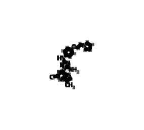 Cc1csc2c(-n3nc(Nc4ccc(OCCN5CCCC5)cc4)nc3N)nc(Cl)nc12